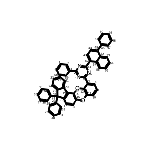 c1ccc(-c2nc(-c3cccc4c3Oc3c(ccc5c3-c3ccccc3C5(c3ccccc3)c3ccccc3)O4)nc(-c3ccc(-c4ccccc4)c4ccccc34)n2)cc1